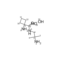 CC(C)(N)CNC(=O)C1(N)CCC1.Cl.Cl